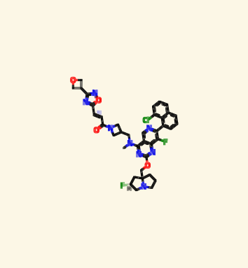 CN(CC1CN(C(=O)/C=C/c2nc(C3COC3)no2)C1)c1nc(OCC23CCCN2C[C@H](F)C3)nc2c(F)c(-c3cccc4cccc(Cl)c34)ncc12